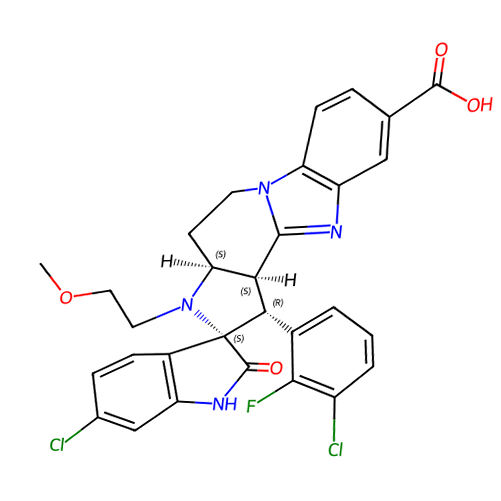 COCCN1[C@H]2CCn3c(nc4cc(C(=O)O)ccc43)[C@H]2[C@H](c2cccc(Cl)c2F)[C@]12C(=O)Nc1cc(Cl)ccc12